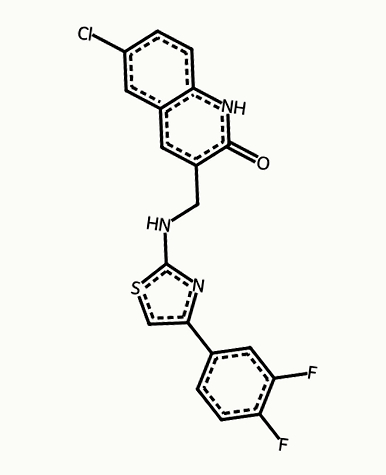 O=c1[nH]c2ccc(Cl)cc2cc1CNc1nc(-c2ccc(F)c(F)c2)cs1